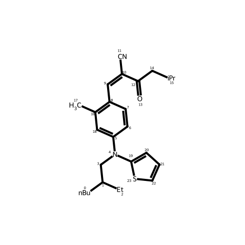 CCCCC(CC)CN(c1ccc(/C=C(/C#N)C(=O)CC(C)C)c(C)c1)c1cccs1